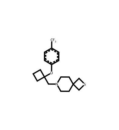 FC(F)(F)c1ccc(OC2(CN3CCC4(CC3)CSC4)CCC2)cc1